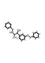 CC(NCc1ccccc1)C(O)c1cccc(OCc2ccccc2)c1